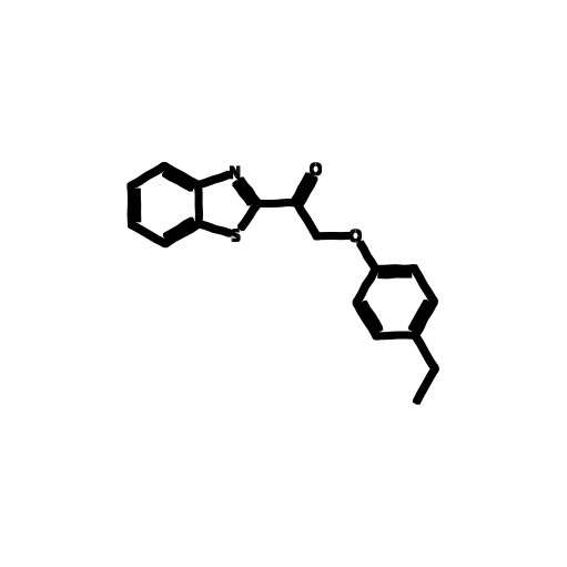 CCc1ccc(OCC(=O)c2nc3ccccc3s2)cc1